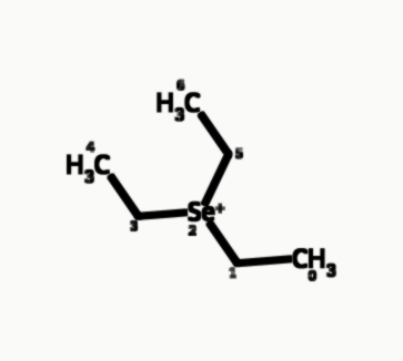 CC[Se+](CC)CC